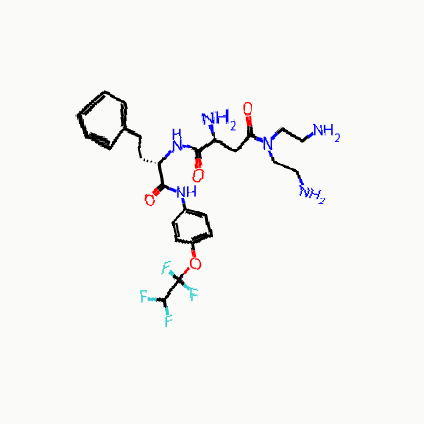 NCCN(CCN)C(=O)C[C@H](N)C(=O)N[C@@H](CCc1ccccc1)C(=O)Nc1ccc(OC(F)(F)C(F)F)cc1